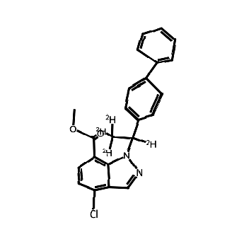 [2H]C([2H])([2H])C([2H])(c1ccc(-c2ccccc2)cc1)n1ncc2c(Cl)ccc(C(=O)OC)c21